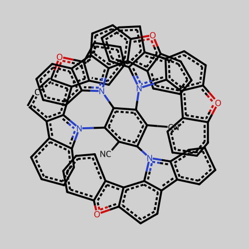 N#Cc1c(-n2c3ccccc3c3ccc4oc5ccccc5c4c32)c(C#N)c(-n2c3ccccc3c3ccc4oc5ccccc5c4c32)c(-n2c3ccccc3c3ccc4oc5ccccc5c4c32)c1-n1c2ccccc2c2ccc3oc4ccccc4c3c21